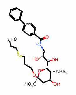 CC(=O)N[C@@H]1C(O)C[C@](OCCCSCCC=O)(C(=O)O)O[C@H]1C(O)[C@H](O)CNC(=O)c1ccc(-c2ccccc2)cc1